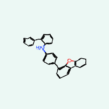 C1=Cc2c(oc3c(-c4ccc(Nc5ccccc5-c5ccccc5)cc4)cccc23)CC1